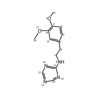 COc1ccc(CCNc2ncncn2)cc1OC